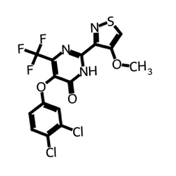 COc1csnc1-c1nc(C(F)(F)F)c(Oc2ccc(Cl)c(Cl)c2)c(=O)[nH]1